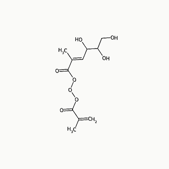 C=C(C)C(=O)OOOC(=O)/C(C)=C/C(O)C(O)CO